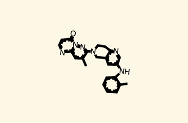 Cc1ccccc1Nc1cnc2c(c1)CN(c1nn3c(=O)ccnc3cc1C)CC2